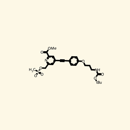 COC(=O)c1cc(C#Cc2ccc(OCCCNC(=O)OC(C)(C)C)cc2)cc(COS(C)(=O)=O)n1